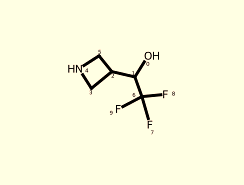 OC(C1CNC1)C(F)(F)F